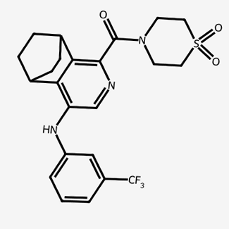 O=C(c1ncc(Nc2cccc(C(F)(F)F)c2)c2c1C1CCC2CC1)N1CCS(=O)(=O)CC1